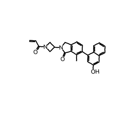 C=CC(=O)N1CC(N2Cc3ccc(-c4cc(O)cc5ccccc45)c(C)c3C2=O)C1